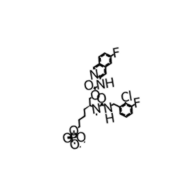 COP(=O)(OC)OCCCC[C@@H](COC(=O)Nc1cc2cc(F)ccc2cn1)N(C)C(=O)NCc1cccc(F)c1Cl